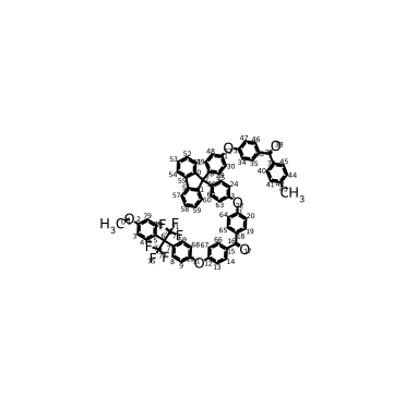 COc1ccc(C(c2ccc(Oc3ccc(C(=O)c4ccc(Oc5ccc(C6(c7ccc(Oc8ccc(C(=O)c9ccc(C)cc9)cc8)cc7)c7ccccc7-c7ccccc76)cc5)cc4)cc3)cc2)(C(F)(F)F)C(F)(F)F)cc1